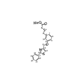 COC(=O)CSCc1cccc(OCc2csc(-c3ccccc3)n2)c1